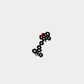 O=P(c1ccccc1)(c1ccccc1)c1ccc2cc(-c3ccc(-c4nc5c(c6ccccc46)C4(c6ccccc6-c6ccccc64)c4ccccc4-5)cc3)ccc2c1